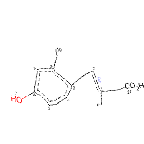 C/C(=C\c1ccc(O)cc1C)C(=O)O